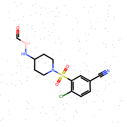 N#Cc1ccc(Cl)c(S(=O)(=O)N2CCC(NBC=O)CC2)c1